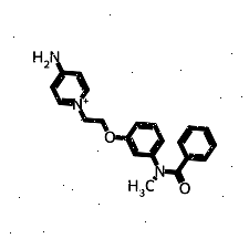 CN(C(=O)c1ccccc1)c1cccc(OCC[n+]2ccc(N)cc2)c1